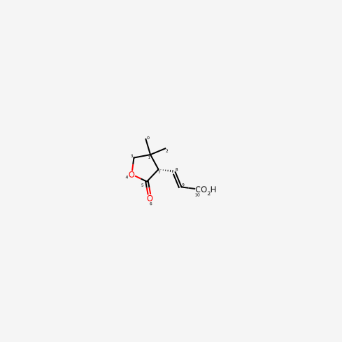 CC1(C)COC(=O)[C@H]1C=CC(=O)O